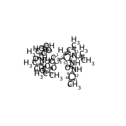 CC[C@@H](CC(=O)O[C@@H](OC(=O)[C@@H](NC(=O)[C@H](C)OP(=O)(O)O)C(C)C)C(C)C)c1ccc(N(CC(C)C)CC(C)C)c(NC(=O)Nc2ccc(C)cc2)c1